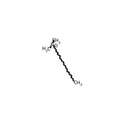 C=CCN(CC=C)C(=O)CCCCCCCCCCCCCCCCCCCCCC